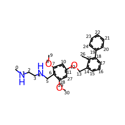 CNCCNCc1c(OC)cc(OCc2cccc(-c3ccccc3)c2C)cc1OC